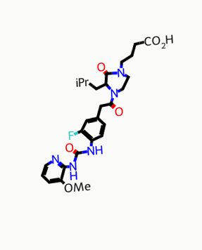 COc1cccnc1NC(=O)Nc1ccc(CC(=O)N2CCN(CCCC(=O)O)C(=O)C2CC(C)C)cc1F